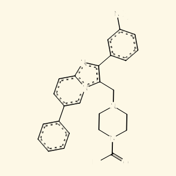 CCC(=O)N1CCN(Cc2c(-c3cccc([N+](=O)[O-])c3)nc3ccc(-c4ccccc4)cn23)CC1